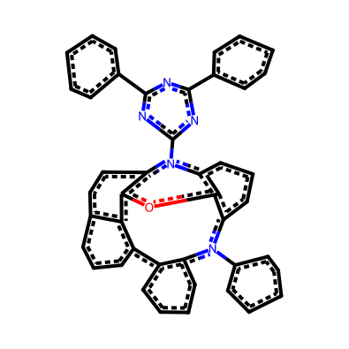 c1ccc(-c2nc(-c3ccccc3)nc(-n3c4ccc5cccc6c7ccccc7n(-c7ccccc7)c7cccc3c7oc4c56)n2)cc1